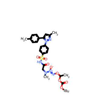 Cc1ccc(-c2cc(C)nn2-c2ccc(S(=O)(=O)NC(=O)CN(C)/[N+]([O-])=N/OC(C)OC(=O)OC(C)(C)C)cc2)cc1